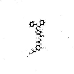 O=C(O)C[C@@H]1CC[C@H](NC(=O)CNC(=O)c2ccc(CN(Cc3ccccn3)Cc3ccccn3)nc2)B(O)O1